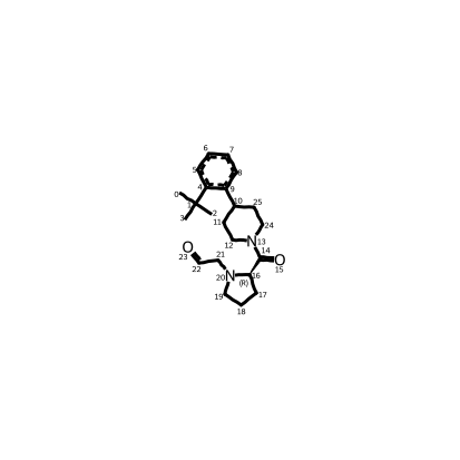 CC(C)(C)c1ccccc1C1CCN(C(=O)[C@H]2CCCN2CC=O)CC1